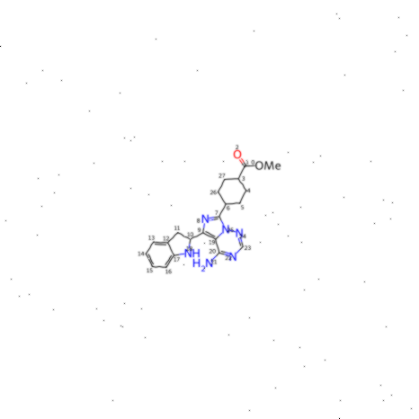 COC(=O)C1CCC(c2nc(C3Cc4ccccc4N3)c3c(N)ncnn23)CC1